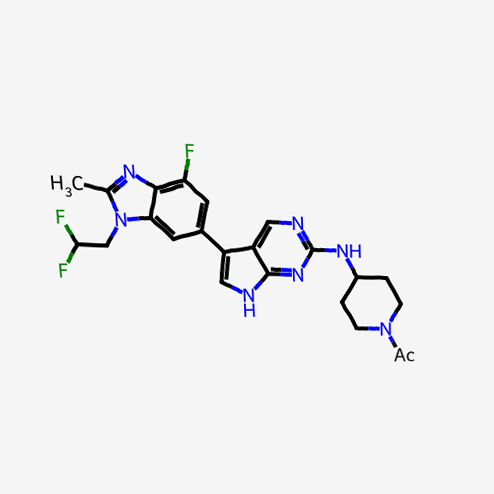 CC(=O)N1CCC(Nc2ncc3c(-c4cc(F)c5nc(C)n(CC(F)F)c5c4)c[nH]c3n2)CC1